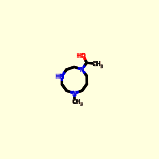 CC(O)N1CCCN(C)CCNCC1